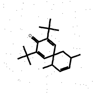 CC1C=CC(C)C2(C=C(C(C)(C)C)C(=O)C(C(C)(C)C)=C2)C1